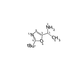 CC(N)c1cnc(C(C)(C)C)o1